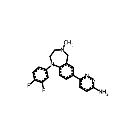 CN1CCN(c2ccc(F)c(F)c2)c2ccc(-c3ccc(N)nn3)cc2C1